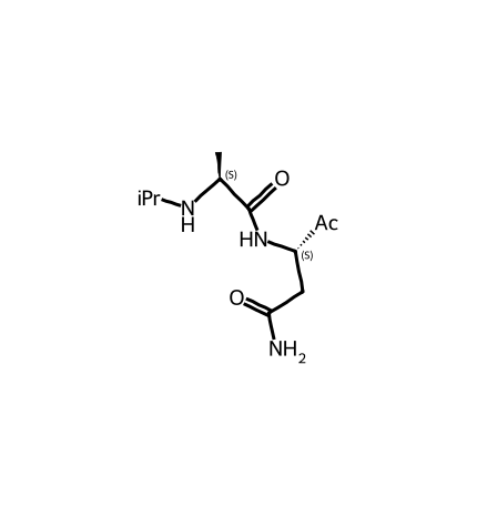 CC(=O)[C@H](CC(N)=O)NC(=O)[C@H](C)NC(C)C